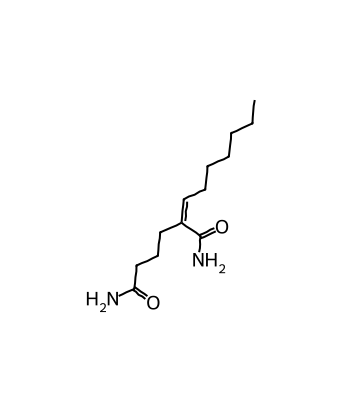 CCCCCCC=C(CCCC(N)=O)C(N)=O